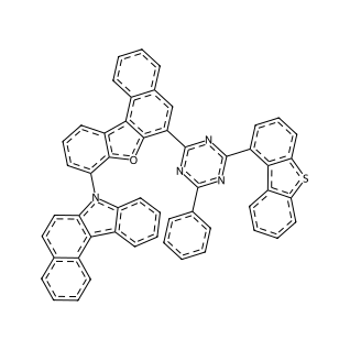 c1ccc(-c2nc(-c3cc4ccccc4c4c3oc3c(-n5c6ccccc6c6c7ccccc7ccc65)cccc34)nc(-c3cccc4sc5ccccc5c34)n2)cc1